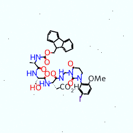 COc1ccc(I)cc1N1CCC(=O)N(CNC(=O)[C@H](CC(=O)O)NC(=O)[C@H](CO)NC(=O)[C@@H](C)NC(=O)OCC2c3ccccc3-c3ccccc32)C1=O